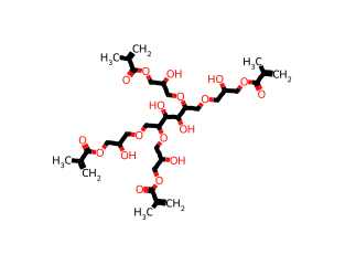 C=C(C)C(=O)OCC(O)COCC(OCC(O)COC(=O)C(=C)C)C(O)C(O)C(COCC(O)COC(=O)C(=C)C)OCC(O)COC(=O)C(=C)C